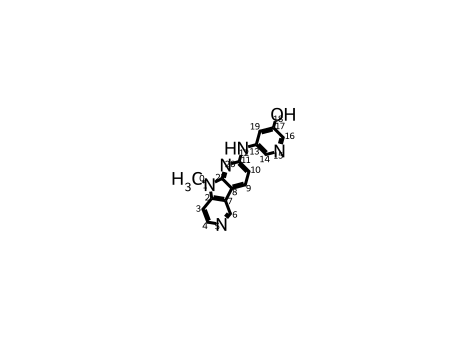 Cn1c2ccncc2c2ccc(Nc3cncc(O)c3)nc21